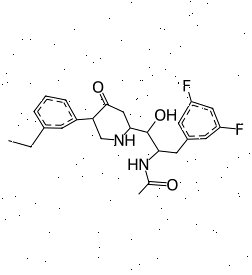 CCc1cccc(C2CNC(C(O)C(Cc3cc(F)cc(F)c3)NC(C)=O)CC2=O)c1